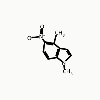 Cc1c([N+](=O)[O-])ccc2c1ccn2C